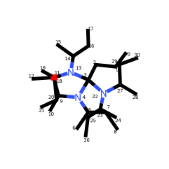 [CH2]CCC(N(C(C)CC)C(C)CC)(N(C(C)CC)C(C)CC)N(C(C)CC)C(C)CC